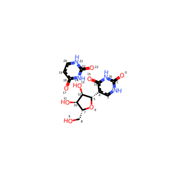 O=c1[nH]cc([C@@H]2O[C@H](CO)[C@@H](O)[C@H]2O)c(=O)[nH]1.O=c1cc[nH]c(=O)[nH]1